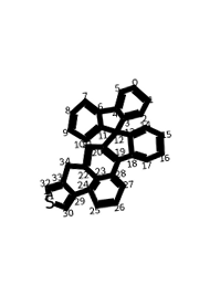 c1ccc2c(c1)-c1ccccc1C21c2ccccc2-c2c1cc1c3c(cccc23)-c2cscc2C1